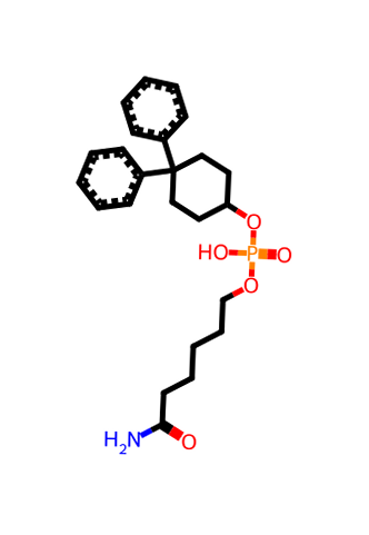 NC(=O)CCCCCOP(=O)(O)OC1CCC(c2ccccc2)(c2ccccc2)CC1